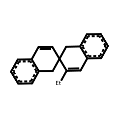 CCC1=Cc2ccccc2CC12C=Cc1ccccc1C2